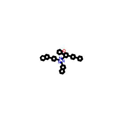 C1=Cc2cc(-c3ccc(-c4nc(-c5ccc6ccccc6c5)nc(-c5cc(-c6ccc(-c7ccccc7)cc6)cc6oc7ccccc7c56)n4)cc3)ccc2CC1